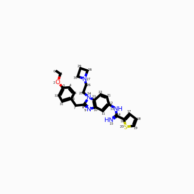 CCOc1ccc(Cc2nc3cc(NC(=N)c4cccs4)ccc3n2CCN2CCC2)cc1